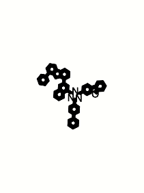 c1ccc(-c2ccc(-c3nc(-c4ccc5c(c4)oc4ccccc45)nc(-c4cc(-c5cccc6c5Cc5c(-c7ccccc7)cccc5-6)cc5ccccc45)n3)cc2)cc1